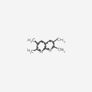 Cc1cc2cc(C)c(C)nc2nc1C